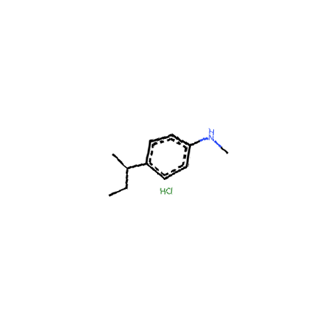 CCC(C)c1ccc(NC)cc1.Cl